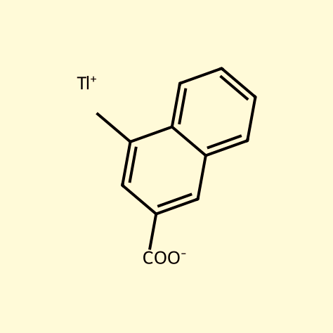 Cc1cc(C(=O)[O-])cc2ccccc12.[Tl+]